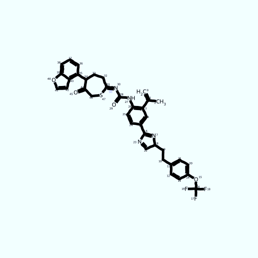 C=C(C)c1cc(C2=NC(CCc3ccc(OC(F)(F)F)cc3)C=N2)ccc1NC(=O)/N=C1/CCC(c2cccc3occc23)C(=O)CS1